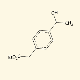 CCOC(=O)Cc1ccc(C(C)O)cc1